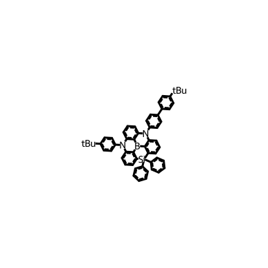 CC(C)(C)c1ccc(-c2ccc(N3c4cccc5c4B4c6c3cccc6[Si](c3ccccc3)(c3ccccc3)c3cccc(c34)N5c3ccc(C(C)(C)C)cc3)cc2)cc1